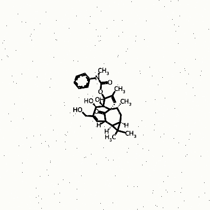 CC1=C[C@]23C(=O)[C@@H](C=C(CO)[C@@H](O)[C@]2(O)C1OC(=O)N(C)c1ccccc1)[C@H]1[C@@H](C[C@H]3C)C1(C)C